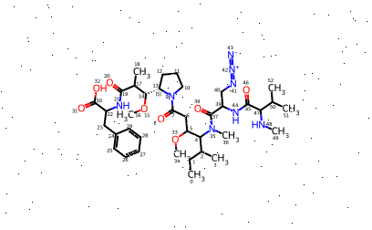 CCC(C)C(C(CC(=O)N1CCC[C@H]1C(OC)C(C)C(=O)NC(Cc1ccccc1)C(=O)O)OC)N(C)C(=O)C(CN=[N+]=[N-])NC(=O)C(NC)C(C)C